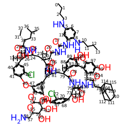 CCCCNc1ccc(NCCCC)c(NC(=O)NC(=O)C[C@@H]2CC(=O)[C@H](NC(=O)[C@H](CC)CC(C)C)[C@H](O)c3ccc(c(Cl)c3)Oc3cc4cc(c3O[C@@H]3O[C@H](CN)[C@@H](O)[C@H](O)[C@H]3O)Oc3ccc(cc3Cl)[C@@H](O)[C@@H]3NC(=O)[C@H](CC(=O)[C@@H]4NC2=O)c2ccc(O)c(c2)-c2c(O)cc(O)cc2[C@@H](C(=O)CC2C4CC5CC(C4)CC2C5)NC3=O)c1